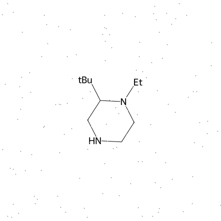 CCN1CCNCC1C(C)(C)C